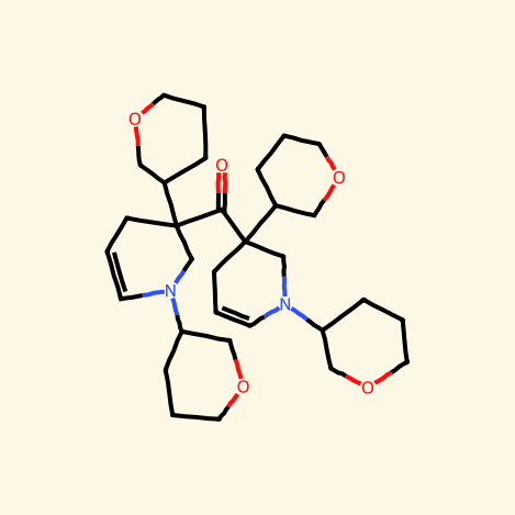 O=C(C1(C2CCCOC2)CC=CN(C2CCCOC2)C1)C1(C2CCCOC2)CC=CN(C2CCCOC2)C1